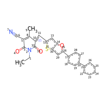 CCN1C(=O)C(C#N)=C(C)/C(=C/c2cc3oc(-c4ccc(-c5ccccc5)cc4)cc3s2)C1=O